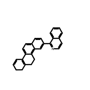 C1=CC2=C(CC1)CCc1c2ccc2ccc(-c3nccc4ccccc34)cc12